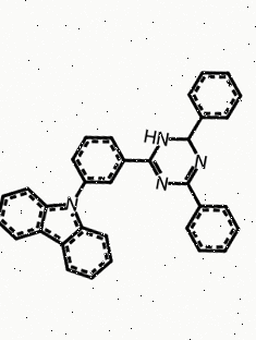 c1ccc(C2=NC(c3ccccc3)NC(c3cccc(-n4c5ccccc5c5ccccc54)c3)=N2)cc1